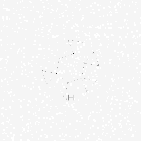 SC1C2(CC2)CC2(CC2)C2(CC2)C12CC2